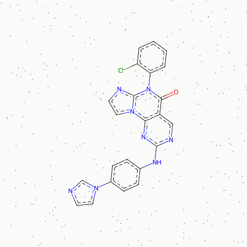 O=c1c2cnc(Nc3ccc(-n4ccnc4)cc3)nc2n2ccnc2n1-c1ccccc1Cl